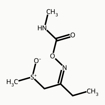 CCC(C[S+](C)[O-])=NOC(=O)NC